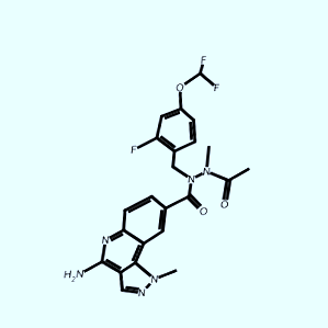 CC(=O)N(C)N(Cc1ccc(OC(F)F)cc1F)C(=O)c1ccc2nc(N)c3cnn(C)c3c2c1